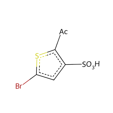 CC(=O)c1sc(Br)cc1S(=O)(=O)O